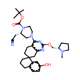 CN1CCC[C@H]1COc1nc2c(c(N3CCN(C(=O)OC(C)(C)C)[C@@H](CC#N)C3)n1)CCC1(CCCc3ccc(O)cc31)C2